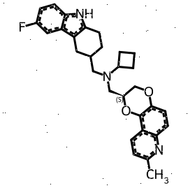 Cc1ccc2c3c(ccc2n1)OC[C@H](CN(CC1CCc2[nH]c4ccc(F)cc4c2C1)C1CCC1)O3